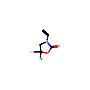 C=CN1CC(CCC)(CCC)OC1=O